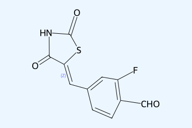 O=Cc1ccc(/C=C2\SC(=O)NC2=O)cc1F